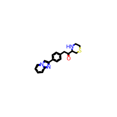 O=C(Cc1ccc(-c2cn3ccccc3n2)cc1)C1CSCCN1